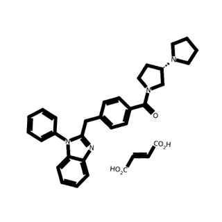 O=C(O)/C=C/C(=O)O.O=C(c1ccc(Cc2nc3ccccc3n2-c2ccccc2)cc1)N1CC[C@H](N2CCCC2)C1